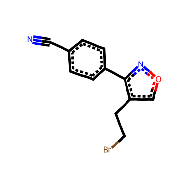 N#Cc1ccc(-c2nocc2CCBr)cc1